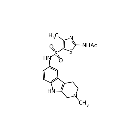 CC(=O)Nc1nc(C)c(S(=O)(=O)Nc2ccc3[nH]c4c(c3c2)CCN(C)C4)s1